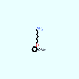 COc1ccccc1OCCCCCCCN